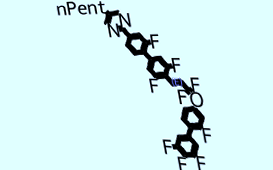 CCCCCc1cnc(-c2ccc(-c3cc(F)c(/C=C/C(F)(F)Oc4ccc(-c5cc(F)c(F)c(F)c5)c(F)c4)c(F)c3)c(F)c2)nc1